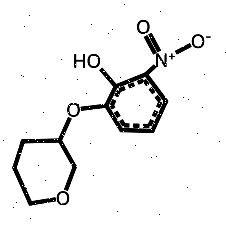 O=[N+]([O-])c1cccc(OC2CCCOC2)c1O